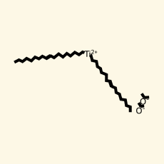 CC(C)[O-].CC(C)[O-].CCCCCCCCC=CCCCCCCC[CH2][Ti+2][CH2]CCCCCCCC=CCCCCCCCC